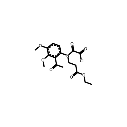 CCOC(=O)CCN(C(=O)C(=O)Cl)c1ccc(OC)c(OC)c1C(C)=O